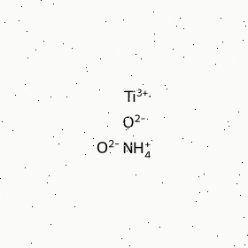 [NH4+].[O-2].[O-2].[Ti+3]